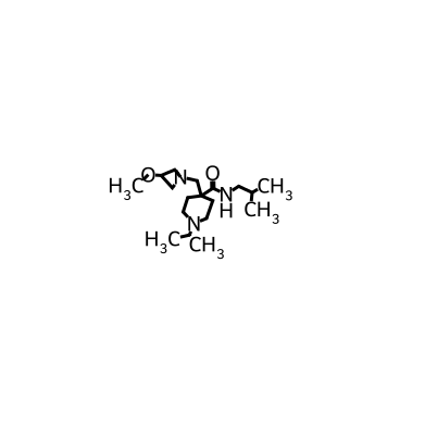 COC1CN(CC2(C(=O)NCC(C)C)CCN(C(C)C)CC2)C1